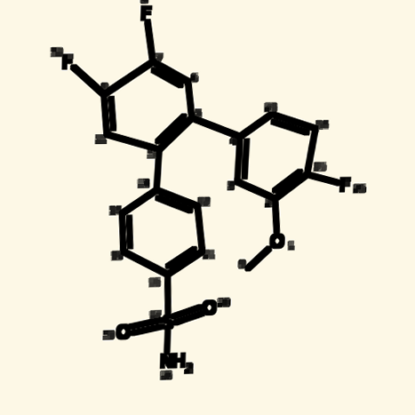 COc1cc(-c2cc(F)c(F)cc2-c2ccc(S(N)(=O)=O)cc2)ccc1F